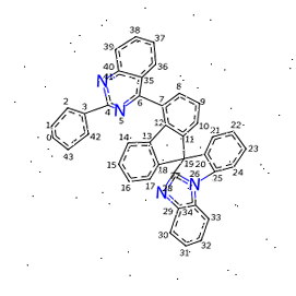 c1ccc(-c2nc(-c3cccc4c3-c3ccccc3C43c4ccccc4-n4c3nc3ccccc34)c3ccccc3n2)cc1